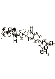 CC1CN(c2ccc(NC3CC4(CC(NC(=O)OC(C)(C)C)C4)C3)c(F)c2)CC(C)O1